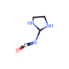 O=C=NC1NCCN1